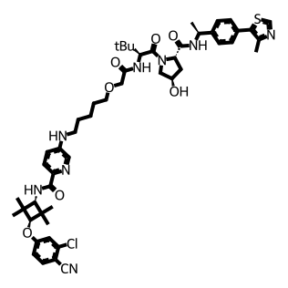 Cc1ncsc1-c1ccc([C@H](C)NC(=O)[C@@H]2C[C@@H](O)CN2C(=O)[C@@H](NC(=O)COCCCCCNc2ccc(C(=O)N[C@H]3C(C)(C)[C@H](Oc4ccc(C#N)c(Cl)c4)C3(C)C)nc2)C(C)(C)C)cc1